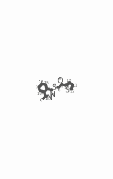 Cc1nnc(SCC(=O)c2cccs2)c2ccccc12